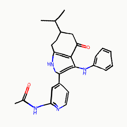 CC(=O)Nc1cc(-c2[nH]c3c(c2Nc2ccccc2)C(=O)CC(C(C)C)C3)ccn1